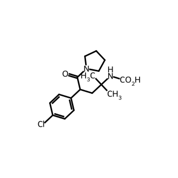 CC(C)(CC(C(=O)N1CCCC1)c1ccc(Cl)cc1)NC(=O)O